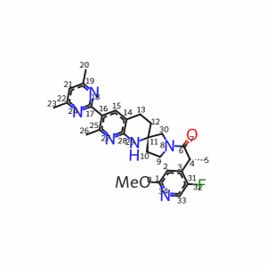 COc1cc([C@@H](C)C(=O)N2CC[C@@]3(CCc4cc(-c5nc(C)cc(C)n5)c(C)nc4N3)C2)c(F)cn1